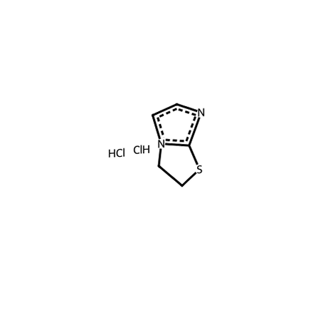 Cl.Cl.c1cn2c(n1)SCC2